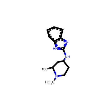 CC(C)(C)C1CC(Nc2nc3ccccc3[nH]2)CCN1C(=O)O